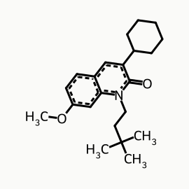 COc1ccc2cc(C3CCCCC3)c(=O)n(CCC(C)(C)C)c2c1